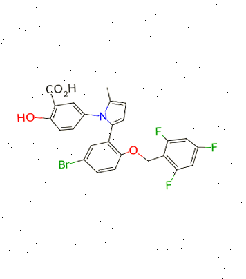 Cc1ccc(-c2cc(Br)ccc2OCc2c(F)cc(F)cc2F)n1-c1ccc(O)c(C(=O)O)c1